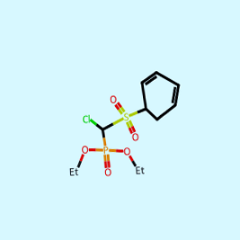 CCOP(=O)(OCC)C(Cl)S(=O)(=O)C1C=CC=CC1